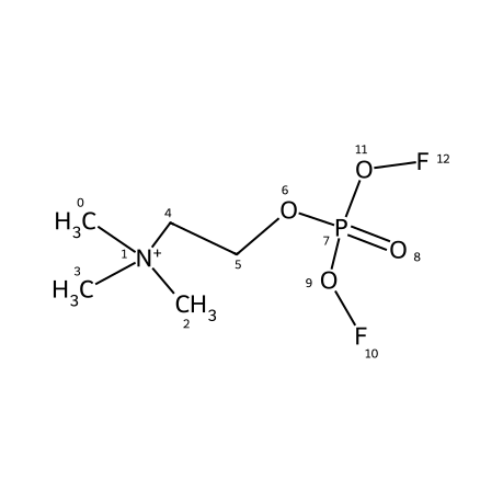 C[N+](C)(C)CCOP(=O)(OF)OF